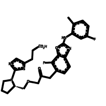 Cc1ccc(F)cc1Nc1nc2ccc(CC(=O)COC[C@@H]3CCCN3c3ncc(CCC(=O)O)s3)c(F)c2o1